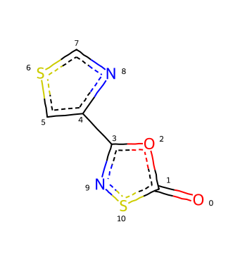 O=c1oc(-c2cscn2)ns1